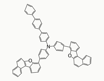 c1ccc(-c2ccc(-c3ccc(N(c4ccc(-c5cccc6c5oc5ccc7ccccc7c56)cc4)c4ccc(-c5cccc6c5oc5ccc7ccccc7c56)cc4)cc3)cc2)cc1